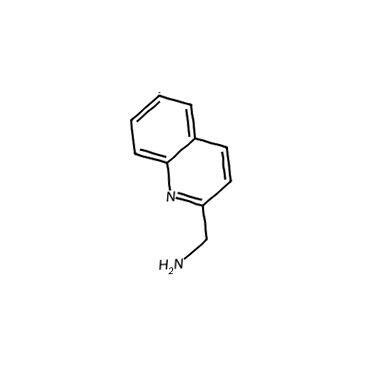 NCc1ccc2c[c]ccc2n1